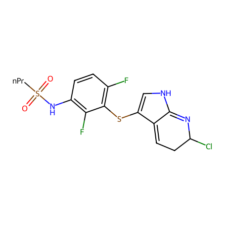 CCCS(=O)(=O)Nc1ccc(F)c(Sc2c[nH]c3c2=CCC(Cl)N=3)c1F